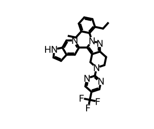 CCc1cccc(CC)c1-n1nc2c(c1-c1cc3cc[nH]c3cn1)CN(c1ncc(C(F)(F)F)cn1)CC2